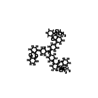 C[Si]1(C)c2ccccc2Oc2c(-c3ccc(N(c4ccc(-c5cccc6c5Oc5ccccc5O6)cc4)c4ccc(-c5cccc6c5Sc5ccccc5[Si]6(C)C)cc4)cc3)cccc21